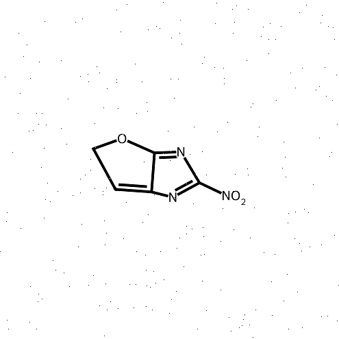 O=[N+]([O-])C1=NC2=CCOC2=N1